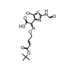 CC(C)(C)OC(=O)C=CCON=C(C(=O)O)c1nc(NC=O)sc1Cl